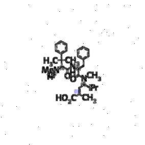 CN[C@H](C(=O)N[C@@H](Cc1ccccc1)C(=O)N(C)[C@H](/C=C(\C)C(=O)O)C(C)C)C(C)(C)c1ccccc1.[Cl-].[H+]